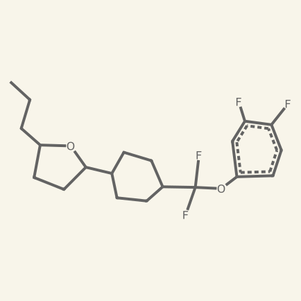 CCCC1CCC(C2CCC(C(F)(F)Oc3ccc(F)c(F)c3)CC2)O1